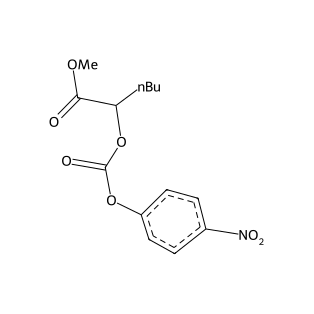 CCCCC(OC(=O)Oc1ccc([N+](=O)[O-])cc1)C(=O)OC